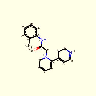 O=C(CN1CC=CC=C1C1=CC=NCC1)Nc1ccccc1C(F)(F)F